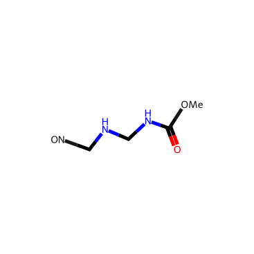 COC(=O)NCNCN=O